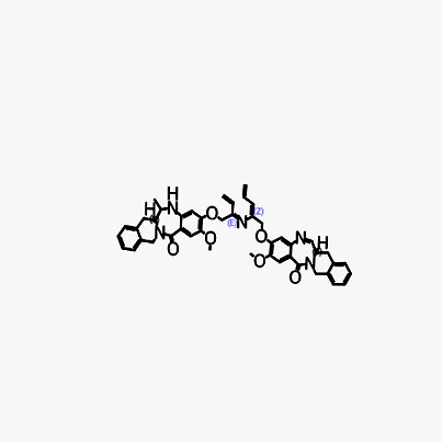 C=C/C=C(COc1cc2c(cc1OC)C(=O)N1Cc3ccccc3C[C@H]1C=N2)\N=C(/C=C)COc1cc2c(cc1OC)C(=O)N1Cc3ccccc3C[C@H]1C(C)N2